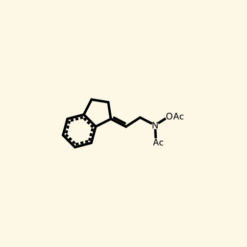 CC(=O)ON(CC=C1CCc2ccccc21)C(C)=O